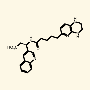 O=C(O)C[C@@H](NC(=O)CCCCc1ccc2c(n1)NCCN2)c1cnc2ccccc2c1